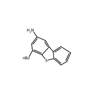 CCCCc1cc(N)cc2c1sc1ccccc12